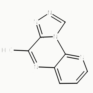 Cc1nc2cccnc2n2cnnc12